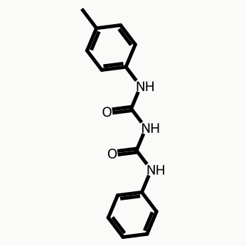 Cc1ccc(NC(=O)NC(=O)Nc2ccccc2)cc1